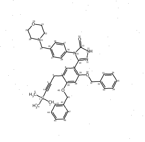 C[Si](C)(C)C#CCc1cc(-c2n[nH]c(=O)n2-c2ccc(CN3CCOCC3)cc2)c(OCc2ccccc2)cc1OCc1ccccc1